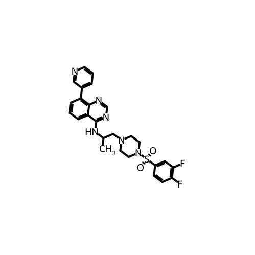 CC(CN1CCN(S(=O)(=O)c2ccc(F)c(F)c2)CC1)Nc1ncnc2c(-c3cccnc3)cccc12